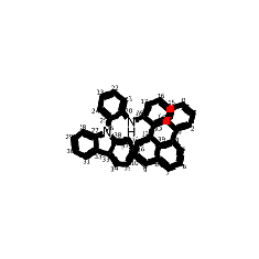 c1ccc(-c2cccc3cccc(-c4ccccc4Nc4ccccc4-n4c5ccccc5c5ccccc54)c23)cc1